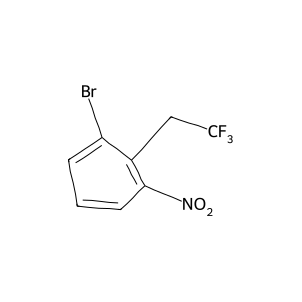 O=[N+]([O-])c1cccc(Br)c1CC(F)(F)F